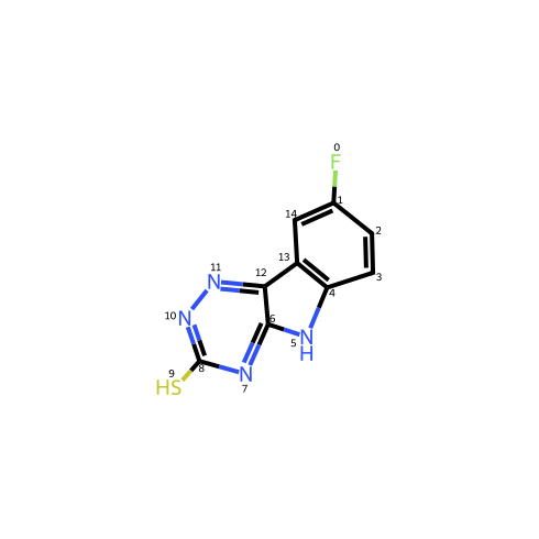 Fc1ccc2[nH]c3nc(S)nnc3c2c1